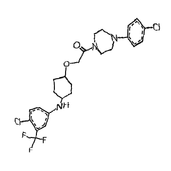 O=C(COC1CCC(Nc2ccc(Cl)c(C(F)(F)F)c2)CC1)N1CCN(c2ccc(Cl)cc2)CC1